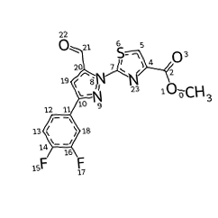 COC(=O)c1csc(-n2nc(-c3ccc(F)c(F)c3)cc2C=O)n1